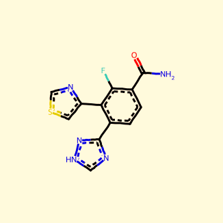 NC(=O)c1ccc(-c2nc[nH]n2)c(-c2cscn2)c1F